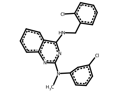 CN(c1cccc(Cl)c1)c1nc(NCc2ccccc2Cl)c2ccccc2n1